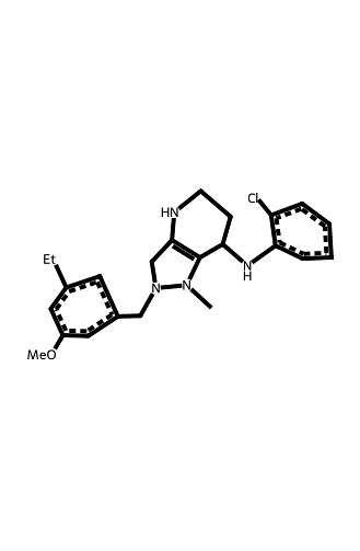 CCc1cc(CN2CC3=C(C(Nc4ccccc4Cl)CCN3)N2C)cc(OC)c1